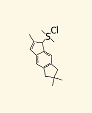 CC1=Cc2cc3c(cc2C1S(C)(C)Cl)CC(C)(C)C3